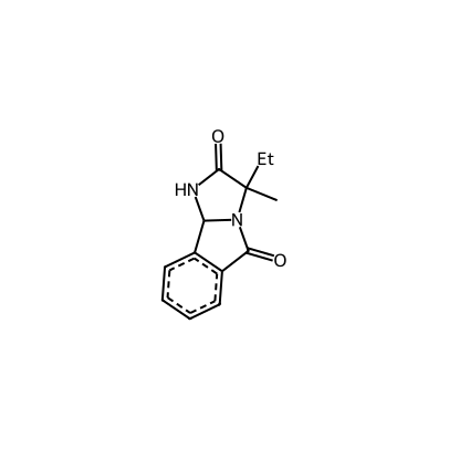 CCC1(C)C(=O)NC2c3ccccc3C(=O)N21